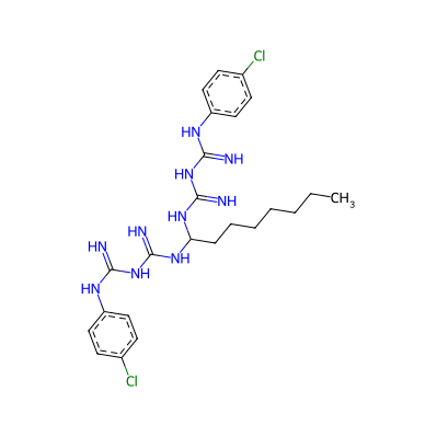 CCCCCCCC(NC(=N)NC(=N)Nc1ccc(Cl)cc1)NC(=N)NC(=N)Nc1ccc(Cl)cc1